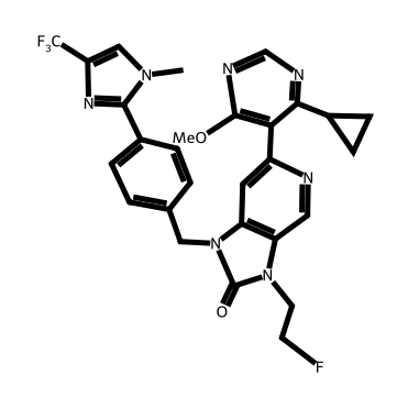 COc1ncnc(C2CC2)c1-c1cc2c(cn1)n(CCF)c(=O)n2Cc1ccc(-c2nc(C(F)(F)F)cn2C)cc1